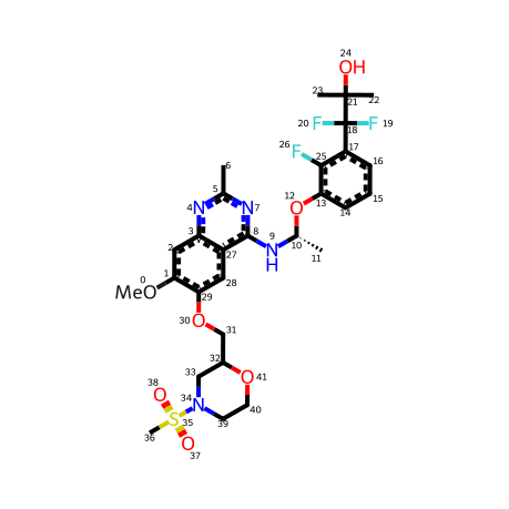 COc1cc2nc(C)nc(N[C@@H](C)Oc3cccc(C(F)(F)C(C)(C)O)c3F)c2cc1OCC1CN(S(C)(=O)=O)CCO1